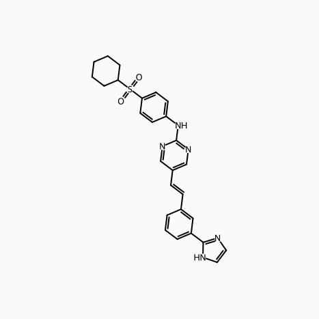 O=S(=O)(c1ccc(Nc2ncc(/C=C/c3cccc(-c4ncc[nH]4)c3)cn2)cc1)C1CCCCC1